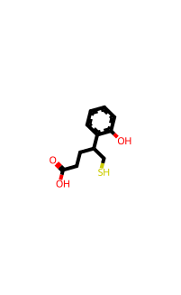 O=C(O)CCC(CS)c1ccccc1O